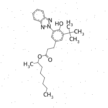 CCCCCCC(C)OC(=O)CCc1cc(-n2nc3ccccc3n2)c(O)c(C(C)(C)C)c1